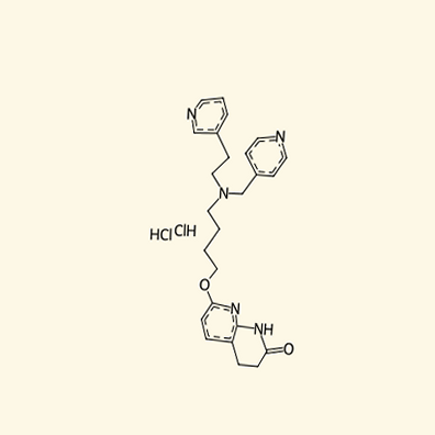 Cl.Cl.O=C1CCc2ccc(OCCCCN(CCc3cccnc3)Cc3ccncc3)nc2N1